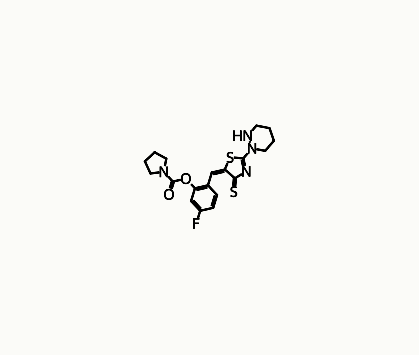 O=C(Oc1cc(F)ccc1C=C1SC(N2CCCCN2)=NC1=S)N1CCCC1